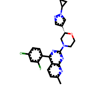 Cc1ccc2c(-c3ccc(Cl)cc3F)nc(N3CCO[C@@H](c4cnn(C5CC5)c4)C3)nc2n1